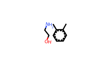 Cc1ccccc1C.NCCO